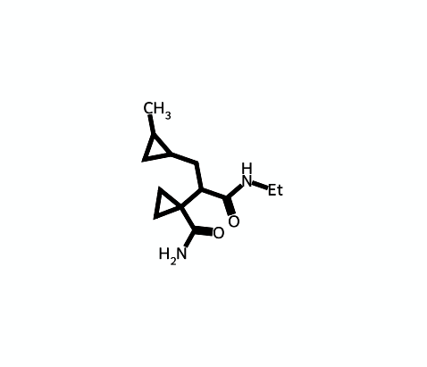 CCNC(=O)C(CC1CC1C)C1(C(N)=O)CC1